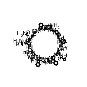 CCCC[C@H]1C(=O)N(C)[C@@H](CCCC)C(=O)N[C@@H](CCCNC(=N)N)C(=O)N[C@H](C(=O)NCC(N)=O)CSCC(=O)N[C@@H](Cc2ccccc2)C(=O)N(C)[C@@H](C)C(=O)N[C@@H](CC(N)=O)C(=O)N2CCC[C@H]2C(=O)N[C@@H](Cc2cnc[nH]2)C(=O)N[C@@H](CC(C)C)C(=O)N[C@@H](CCNC(=O)C2CCC2)C(=O)N[C@@H](Cc2c[nH]c3ccccc23)C(=O)N[C@@H](CO)C(=O)N[C@@H](Cc2c[nH]c3ccccc23)C(=O)N1C